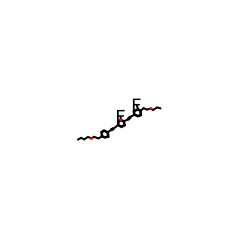 CCCCCCCc1ccc(C#Cc2ccc(C#Cc3ccc(CCCCCC)c(F)c3)c(F)c2)cc1